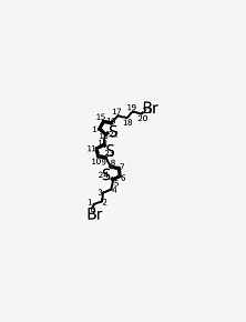 BrCCCCc1ccc(-c2ccc(-c3ccc(CCCCBr)s3)s2)s1